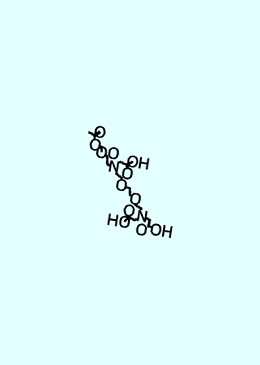 CC(=O)OCOC(=O)CN(CCOCCOCCN(CC(=O)O)CC(=O)O)CC(=O)O